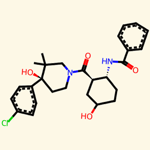 CC1(C)CN(C(=O)[C@@H]2CC(O)CC[C@H]2NC(=O)c2ccccc2)CC[C@]1(O)c1ccc(Cl)cc1